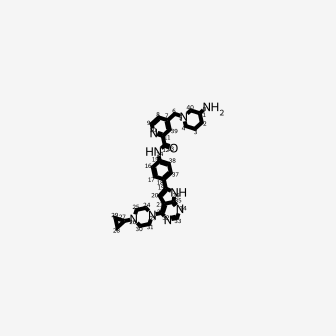 NC1CCCN(Cc2ccnc(C(=O)Nc3ccc(-c4cc5c(N6CCN(C7CC7)CC6)ncnc5[nH]4)cc3)c2)C1